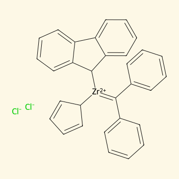 C1=C[CH]([Zr+2](=[C](c2ccccc2)c2ccccc2)[CH]2c3ccccc3-c3ccccc32)C=C1.[Cl-].[Cl-]